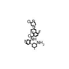 C[C@@H]1C[C@H](N)C[C@H](c2ccncc2NC(=O)c2ccc(F)c3cc(N4CCN(C)C(=O)C4)cnc23)C1